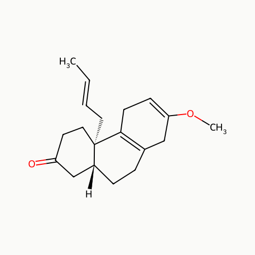 C/C=C/C[C@@]12CCC(=O)C[C@H]1CCC1=C2CC=C(OC)C1